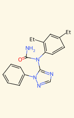 CCc1ccc(N(C(N)=O)c2ncnn2-c2ccccc2)c(CC)c1